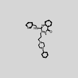 CN1C(=O)c2ccccc2N=C(NCc2cccnc2)N1CCCN1CCN(c2ccccc2)CC1